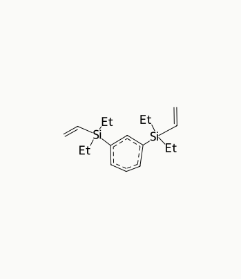 C=C[Si](CC)(CC)c1cccc([Si](C=C)(CC)CC)c1